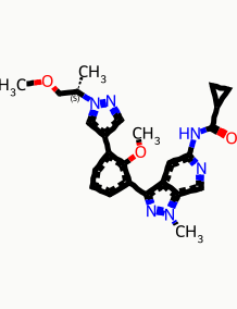 COC[C@H](C)n1cc(-c2cccc(-c3nn(C)c4cnc(NC(=O)C5CC5)cc34)c2OC)cn1